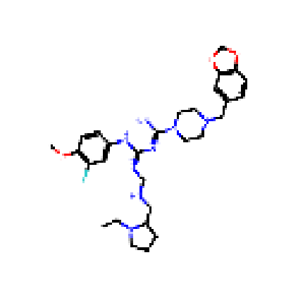 CCN1CCCC1CNC/N=C(\N=C(/N)N1CCN(Cc2ccc3c(c2)OCO3)CC1)Nc1ccc(OC)c(F)c1